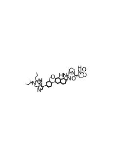 CCCC(=O)N(Cc1ncc(-c2ccc3c(c2)COc2cc4c(ccc5nc([C@@H]6CCCN6C(=O)[C@H](CC)NC(=O)OC)[nH]c54)cc2-3)[nH]1)[C@@H](C)CC